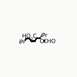 CC(C)[C@H](C/C=C\C[C@H](C(=O)O)C(C)C)OC=O